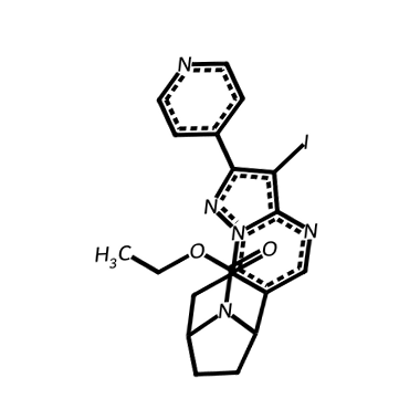 CCOC(=O)N1C2CCC1c1cnc3c(I)c(-c4ccncc4)nn3c1C2